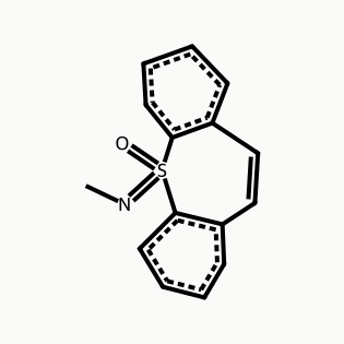 CN=S1(=O)c2ccccc2C=Cc2ccccc21